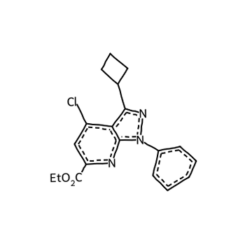 CCOC(=O)c1cc(Cl)c2c(C3CCC3)nn(-c3ccccc3)c2n1